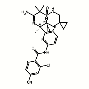 CC1(C)C(N)=N[C@](C)(c2nc(NC(=O)c3ncc(C#N)cc3Cl)ccc2F)[C@H]2CC3(CC3)CN[SH]21=O